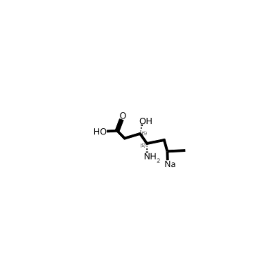 C[CH]([Na])C[C@H](N)[C@@H](O)CC(=O)O